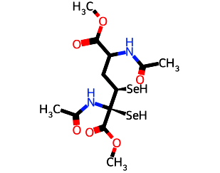 COC(=O)C(C[C@@H]([SeH])[C@@]([SeH])(NC(C)=O)C(=O)OC)NC(C)=O